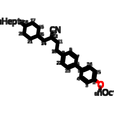 CCCCCCCCOc1ccc(-c2ccc(CCC(C#N)CC3CCC(CCCCCCC)CC3)cc2)cc1